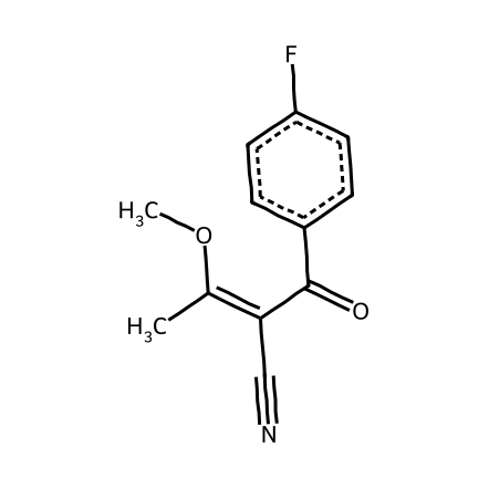 COC(C)=C(C#N)C(=O)c1ccc(F)cc1